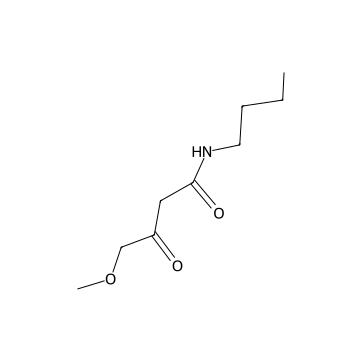 CCCCNC(=O)CC(=O)COC